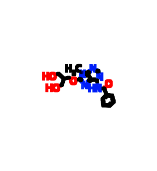 Cn1c(OCC(CO)CO)nc2c(NC(=O)c3ccccc3)ncnc21